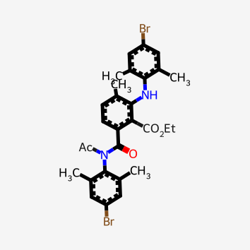 CCOC(=O)c1c(C(=O)N(C(C)=O)c2c(C)cc(Br)cc2C)ccc(C)c1Nc1c(C)cc(Br)cc1C